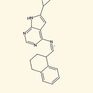 C(=N/c1ncnc2[nH]c(C3CC3)cc12)/C1CCCc2ccccc21